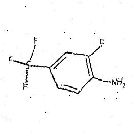 Nc1ccc(S(F)(F)F)cc1F